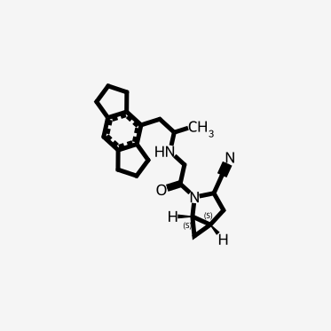 CC(Cc1c2c(cc3c1CCC3)CCC2)NCC(=O)N1C(C#N)C[C@@H]2C[C@@H]21